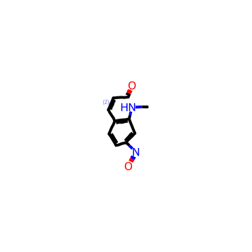 CNc1cc(N=O)ccc1/C=C\C=O